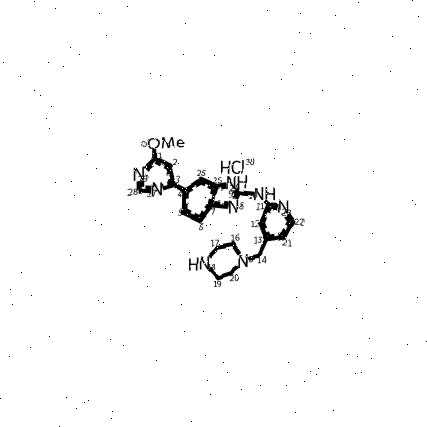 COc1cc(-c2ccc3nc(Nc4cc(CN5CCNCC5)ccn4)[nH]c3c2)ncn1.Cl